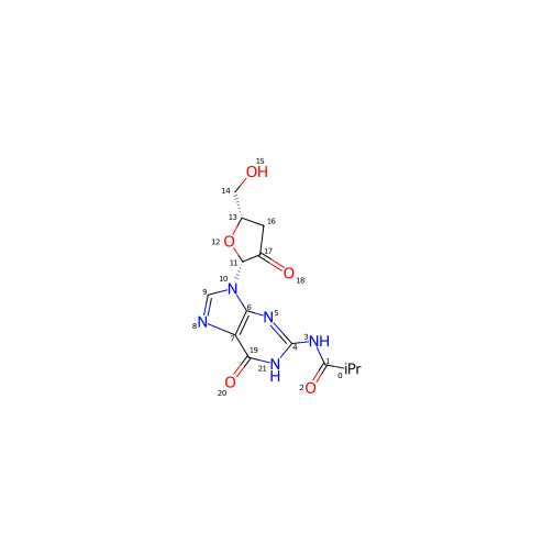 CC(C)C(=O)Nc1nc2c(ncn2[C@@H]2O[C@H](CO)CC2=O)c(=O)[nH]1